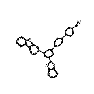 N#Cc1ccc(-c2ccc(-c3cc(-c4ccc5c(c4)sc4ccccc45)cc(-c4nc5ccccc5s4)c3)cc2)cc1